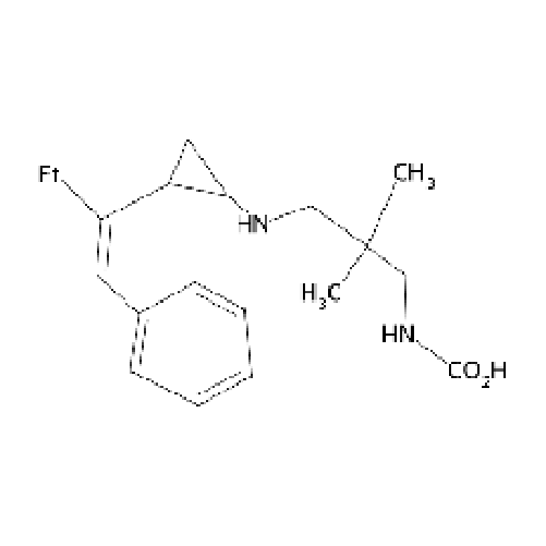 CCC(=Cc1ccccc1)C1CC1NCC(C)(C)CNC(=O)O